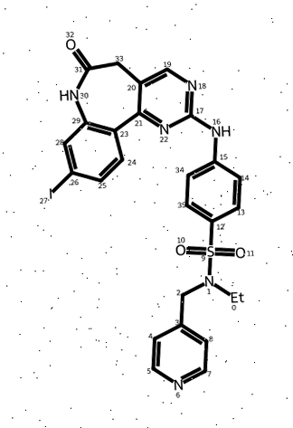 CCN(Cc1ccncc1)S(=O)(=O)c1ccc(Nc2ncc3c(n2)-c2ccc(I)cc2NC(=O)C3)cc1